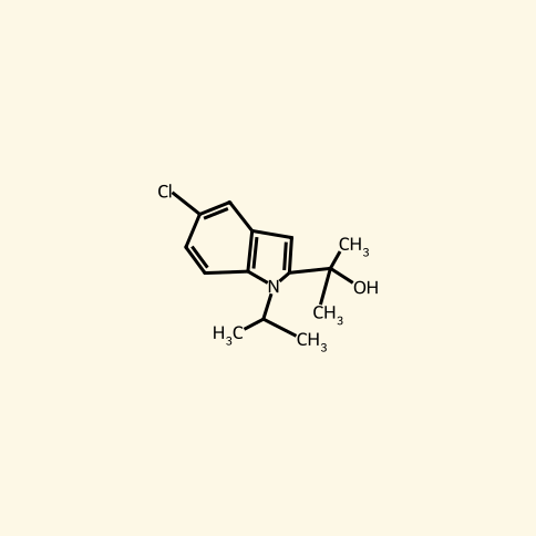 CC(C)n1c(C(C)(C)O)cc2cc(Cl)ccc21